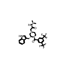 CN(C)NC(=O)CN1CCN(C(=O)c2cc(C(F)(F)F)cc(C(F)(F)F)c2)[C@H](Cc2c[nH]c3ccccc23)C1